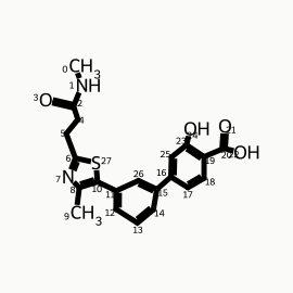 CNC(=O)CCc1nc(C)c(-c2cccc(-c3ccc(C(=O)O)c(O)c3)c2)s1